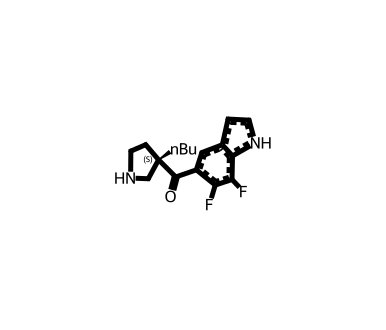 CCCC[C@]1(C(=O)c2cc3cc[nH]c3c(F)c2F)CCNC1